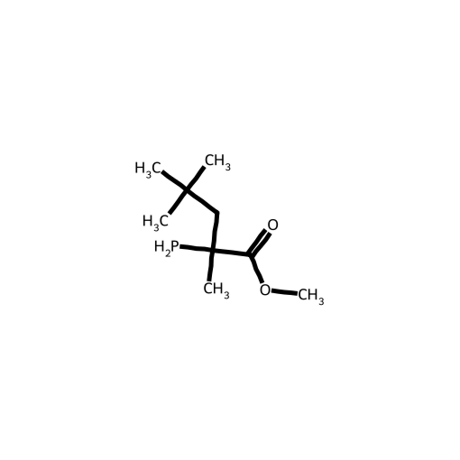 COC(=O)C(C)(P)CC(C)(C)C